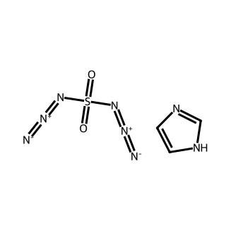 [N-]=[N+]=NS(=O)(=O)N=[N+]=[N-].c1c[nH]cn1